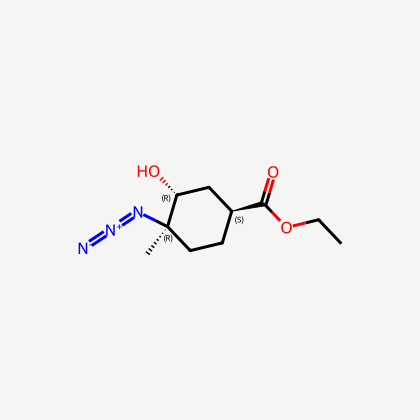 CCOC(=O)[C@H]1CC[C@@](C)(N=[N+]=[N-])[C@H](O)C1